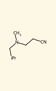 CC(C)CN(C)CCC#N